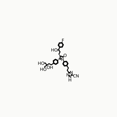 N#Cc1nc(CCc2ccc(N3C(=O)[C@H](CC[C@H](O)c4ccc(F)cc4)[C@H]3c3ccc(CCC(O)(CO)CO)cc3)cc2)n[nH]1